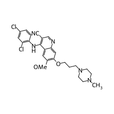 COc1cc2c(Nc3ccc(Cl)cc3Cl)c(C#N)cnc2cc1OCCCN1CCN(C)CC1